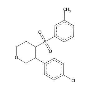 Cc1cccc(S(=O)(=O)C2CCOCC2c2ccc(Cl)cc2)c1